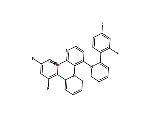 O=[C]c1nccc(N2CC=CC=C2c2ccc(F)cc2F)c1N1CC=CC=C1c1ccc(F)cc1F